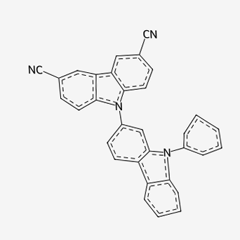 N#Cc1ccc2c(c1)c1cc(C#N)ccc1n2-c1ccc2c3ccccc3n(-c3ccccc3)c2c1